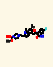 CCOC(O)N1CCN(CCc2ccc(C3=C/C(=C4\C(=O)Nc5cc(F)ccc54)OC3(C)C)cn2)CC1